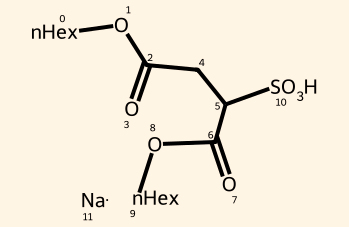 CCCCCCOC(=O)CC(C(=O)OCCCCCC)S(=O)(=O)O.[Na]